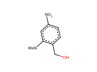 CNc1cc([N+](=O)[O-])ccc1CO